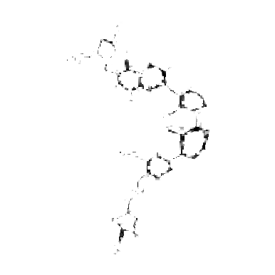 COc1nc(-c2cccc(-c3cccc(-c4ccn5c(=O)c(CN6C[C@H](O)C[C@@H]6C(=O)O)cnc5c4)c3Cl)c2Cl)ccc1CNCC1CCC(=O)N1